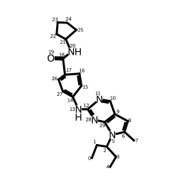 CCC(CC)n1c(C)cc2cnc(Nc3ccc(C(=O)NC4CCCC4)cc3)nc21